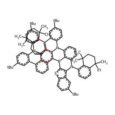 CCC1(C)CCC(C)(C)c2c(N3c4cccc5c4B(c4ccc(N(c6ccc(C(C)(C)C)cc6)c6ccc(C(C)(C)C)cc6-c6ccccc6)cc4N5c4ccc(C(C)(C)C)cc4C4=CC=CCC5=C4C(C)(C)CCC5(C)C)c4sc5ccc(C(C)(C)C)cc5c43)cccc21